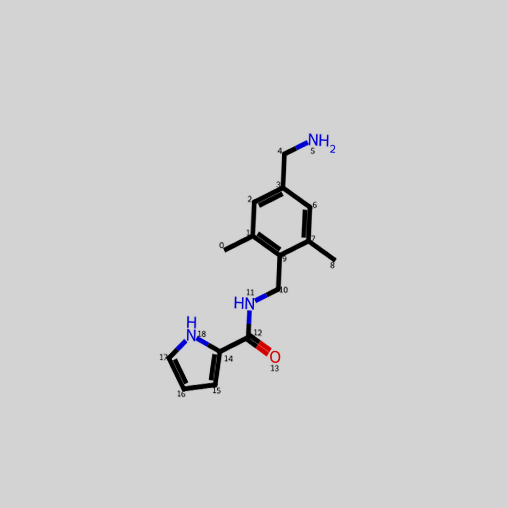 Cc1cc(CN)cc(C)c1CNC(=O)c1ccc[nH]1